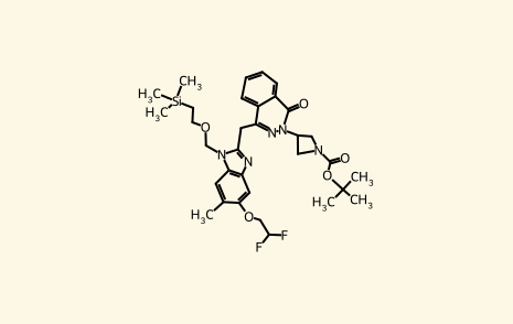 Cc1cc2c(cc1OCC(F)F)nc(Cc1nn(C3CN(C(=O)OC(C)(C)C)C3)c(=O)c3ccccc13)n2COCC[Si](C)(C)C